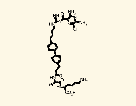 CC(C)C(NC(=O)CCc1ccc(-c2ccc(CCCCNC(=N)NC(=O)c3nc(Cl)c(N)nc3N)cc2)cc1)C(=O)NC(CCCCN)C(=O)O